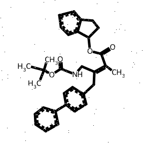 CC(C(=O)OC1CCc2ccccc21)=C(CNC(=O)OC(C)(C)C)Cc1ccc(-c2ccccc2)cc1